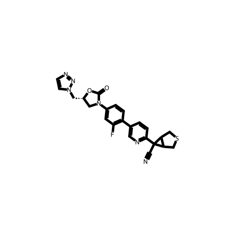 N#CC1(c2ccc(-c3ccc(N4C[C@H](Cn5ccnn5)OC4=O)cc3F)cn2)C2CSCC21